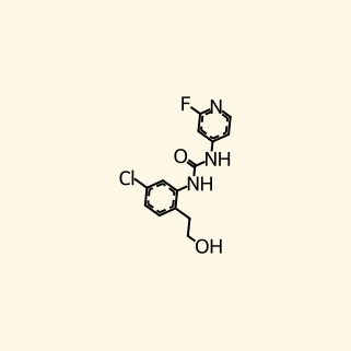 O=C(Nc1ccnc(F)c1)Nc1cc(Cl)ccc1CCO